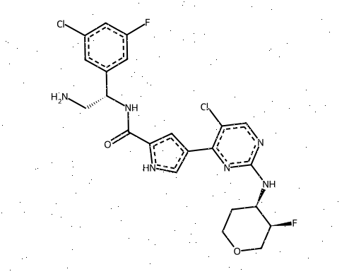 NC[C@@H](NC(=O)c1cc(-c2nc(N[C@@H]3CCOC[C@@H]3F)ncc2Cl)c[nH]1)c1cc(F)cc(Cl)c1